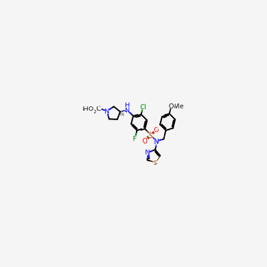 COc1ccc(CN(c2cscn2)S(=O)(=O)c2cc(Cl)c(N[C@H]3CCN(C(=O)O)C3)cc2F)cc1